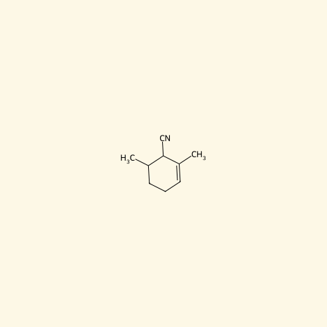 CC1=CCCC(C)C1C#N